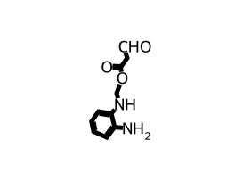 Nc1ccccc1NCOC(=O)CC=O